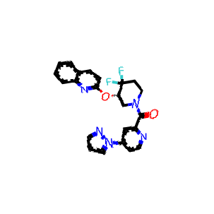 O=C(c1cc(-n2cccn2)ccn1)N1CCC(F)(F)[C@@H](Oc2ccc3ccccc3n2)C1